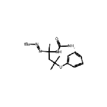 CC(C)(C)/N=N/C(C)(CC(C)(C)Oc1ccccc1)NC(N)=O